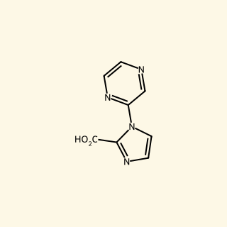 O=C(O)c1nccn1-c1cnccn1